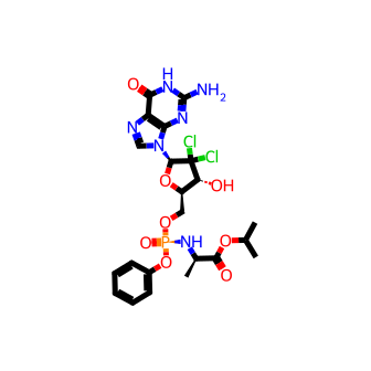 CC(C)OC(=O)[C@@H](C)N[P@@](=O)(OC[C@H]1O[C@@H](n2cnc3c(=O)[nH]c(N)nc32)C(Cl)(Cl)[C@@H]1O)Oc1ccccc1